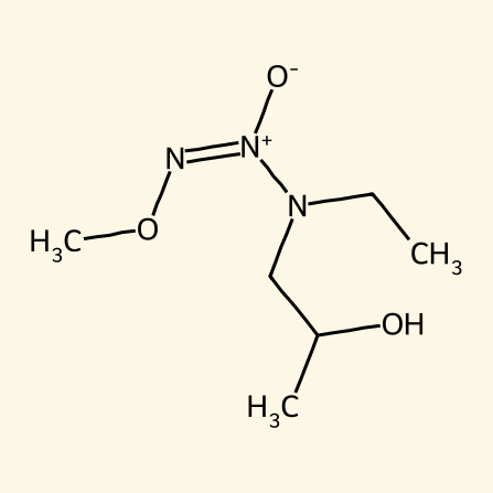 CCN(CC(C)O)/[N+]([O-])=N\OC